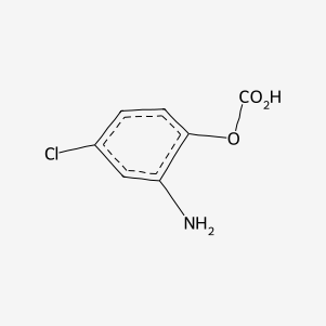 Nc1cc(Cl)ccc1OC(=O)O